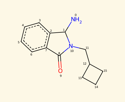 NC1c2ccccc2C(=O)N1CC1CCC1